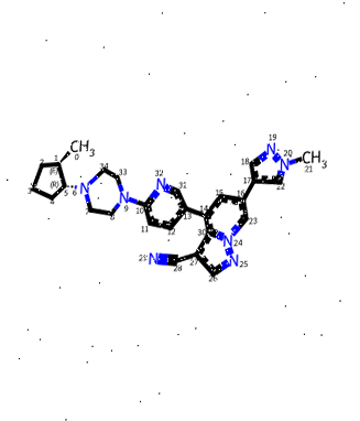 C[C@@H]1CCC[C@H]1N1CCN(c2ccc(-c3cc(-c4cnn(C)c4)cn4ncc(C#N)c34)cn2)CC1